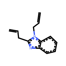 C=CCc1nc2ccccc2n1CC=C